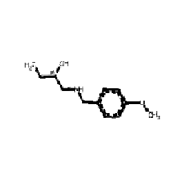 CC[C@@H](O)CNCc1ccc(OC)cc1